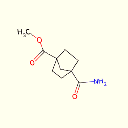 COC(=O)C12CCC(C(N)=O)(CC1)C2